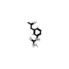 CC(=O)Cc1cccc(NC(N)=O)c1